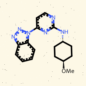 CO[C@H]1CC[C@H](Nc2nccc(-n3nnc4ccccc43)n2)CC1